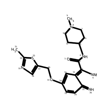 CN/C(C(=O)NC1CCN(C)CC1)=C1/C=C(OCc2cnc(C)s2)C=CC1=N